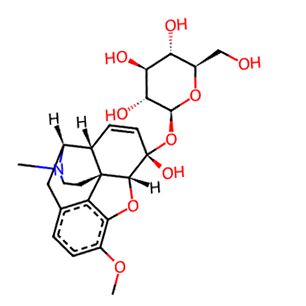 COc1ccc2c3c1O[C@@H]1[C@]34CCN(C)[C@H](C2)[C@@H]4C=C[C@]1(O)O[C@@H]1O[C@H](CO)[C@@H](O)[C@H](O)[C@H]1O